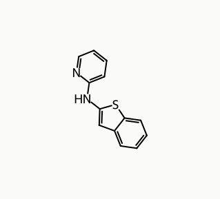 c1ccc(Nc2cc3ccccc3s2)nc1